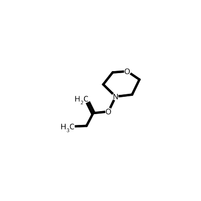 C=C(CC)ON1CCOCC1